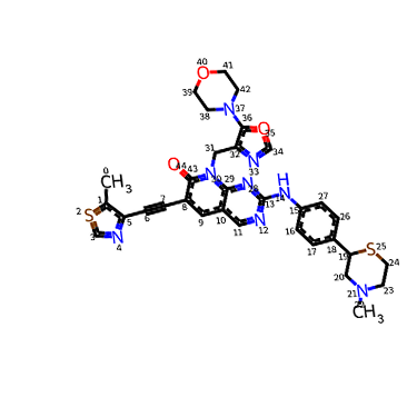 Cc1scnc1C#Cc1cc2cnc(Nc3ccc(C4CN(C)CCS4)cc3)nc2n(Cc2ncoc2N2CCOCC2)c1=O